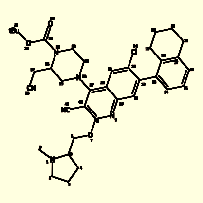 CN1CCCC1COc1nc2cc(-c3cccc4c3CCCC4)c(Cl)cc2c(N2CCN(C(=O)OC(C)(C)C)C(CC#N)C2)c1C#N